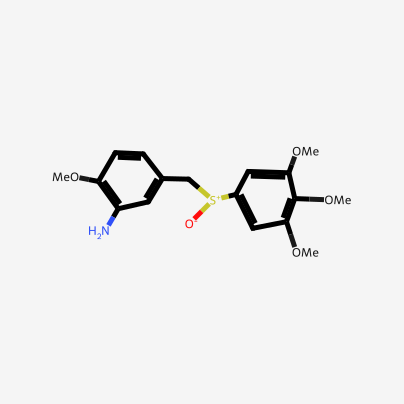 COc1ccc(C[S+]([O-])c2cc(OC)c(OC)c(OC)c2)cc1N